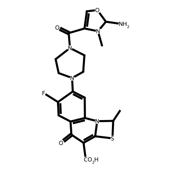 CC1Sc2c(C(=O)O)c(=O)c3cc(F)c(N4CCN(C(=O)C5=COC(N)N5C)CC4)cc3n21